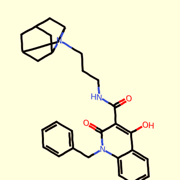 O=C(NCCCN1C2CC3CC(C2)CC1C3)c1c(O)c2ccccc2n(Cc2ccccc2)c1=O